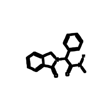 CN(F)C(=O)C(c1ccccc1)N1Cc2ccccc2C1=O